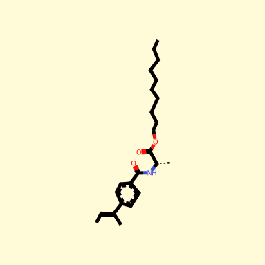 C/C=C(\C)c1ccc(C(=O)N[C@@H](C)C(=O)OCCCCCCCCCC)cc1